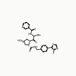 Cc1ncsc1-c1ccc(CNC(=O)[C@@H]2C[C@@H](O)CN2C(=O)C(NC(=O)c2cccnc2)C(C)(C)C)cc1